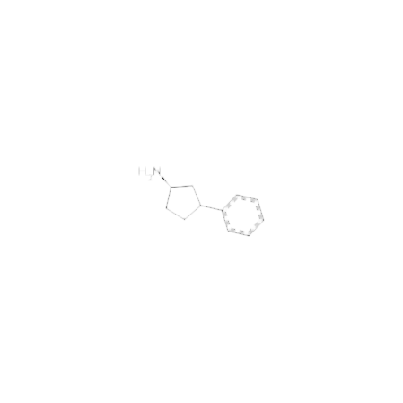 N[C@@H]1CCC(c2ccccc2)C1